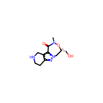 CN1O[C@H](CO)Cn2nc3c(c2C1=O)CNCC3